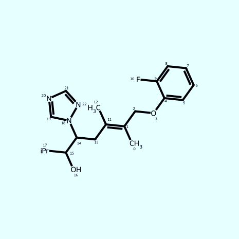 C/C(COc1ccccc1F)=C(/C)CC(C(O)C(C)C)n1cncn1